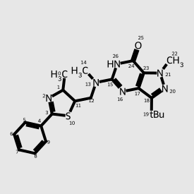 CC1N=C(c2ccccc2)SC1CN(C)c1nc2c(C(C)(C)C)nn(C)c2c(=O)[nH]1